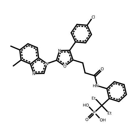 CCC(CC)(c1ccccc1NC(=O)CCc1oc(-n2cnc3c(C)c(C)ccc32)nc1-c1ccc(Cl)cc1)P(=O)(O)O